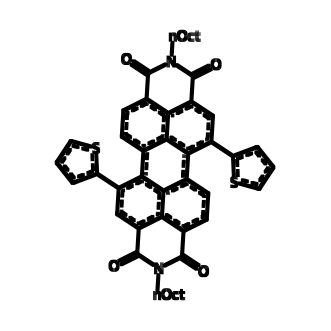 CCCCCCCCN1C(=O)c2ccc3c4c(-c5cccs5)cc5c6c(ccc(c7c(-c8cccs8)cc(c2c37)C1=O)c64)C(=O)N(CCCCCCCC)C5=O